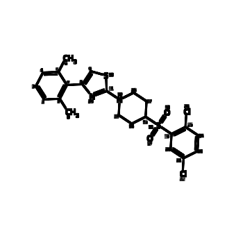 Cc1cccc(C)c1-c1csc(N2CCC(S(=O)(=O)c3cc(Cl)ccc3Cl)CC2)n1